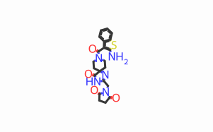 Nc1sc2ccccc2c1C(=O)N1CCC2(CC1)N=C(CN1C(=O)CCC1=O)NC2=O